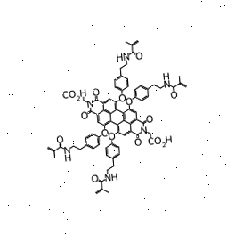 C=C(C)C(=O)NCCc1ccc(Oc2cc3c4c(cc(Oc5ccc(CCNC(=O)C(=C)C)cc5)c5c6c(Oc7ccc(CCNC(=O)C(=C)C)cc7)cc7c8c(cc(Oc9ccc(CCNC(=O)C(=C)C)cc9)c(c2c45)c86)C(=O)N(CC(=O)O)C7=O)C(=O)N(CC(=O)O)C3=O)cc1